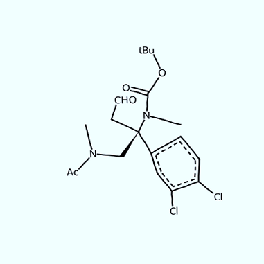 CC(=O)N(C)C[C@](CC=O)(c1ccc(Cl)c(Cl)c1)N(C)C(=O)OC(C)(C)C